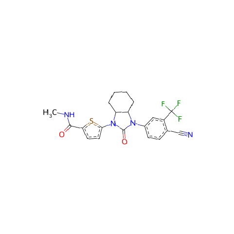 CNC(=O)c1ccc(N2C(=O)N(c3ccc(C#N)c(C(F)(F)F)c3)C3CCCCC32)s1